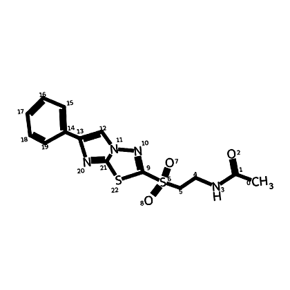 CC(=O)NCCS(=O)(=O)c1nn2cc(-c3ccccc3)nc2s1